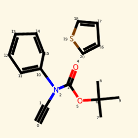 C#CN(C(=O)OC(C)(C)C)c1ccccc1.c1ccsc1